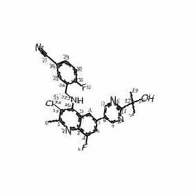 Cc1nc2c(F)cc(-c3cnc(C(C)(C)O)nc3)cc2c(N[C@H](C)c2cc(C#N)ccc2F)c1Cl